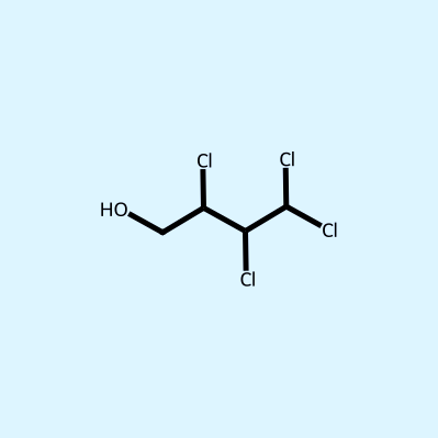 OCC(Cl)C(Cl)C(Cl)Cl